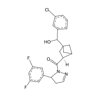 O=C([C@H]1CC2(C(O)c3cccc(Cl)c3)CC1C2)N1N=CCC1c1cc(F)cc(F)c1